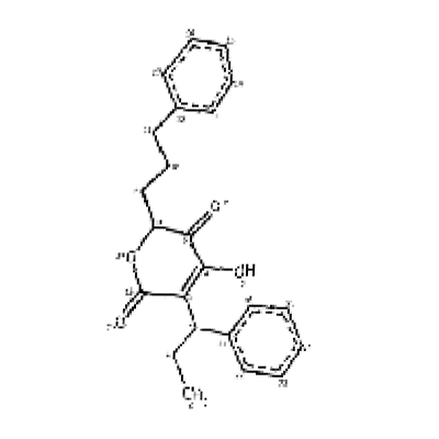 CCC(C1=C(O)C(=O)C(CCCc2ccccc2)OC1=O)c1ccccc1